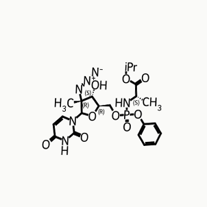 CC(C)OC(=O)[C@H](C)NP(=O)(OC[C@H]1OC(n2ccc(=O)[nH]c2=O)[C@](C)(N=[N+]=[N-])[C@@H]1O)Oc1ccccc1